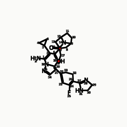 Nc1c(C2CC2)c(C2CC3CCC(C2)N3C(=O)CO)nc2c(C3=CC(F)=C(C4=NCCN4)CC3)cnn12